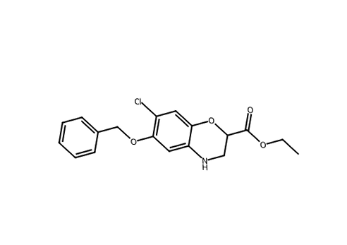 CCOC(=O)C1CNc2cc(OCc3ccccc3)c(Cl)cc2O1